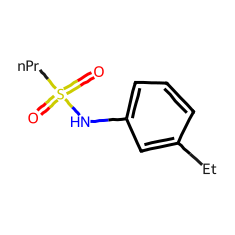 CCCS(=O)(=O)Nc1cccc(CC)c1